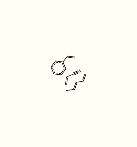 C=CC#N.C=CC=CC.C=Cc1ccccc1